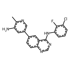 Cc1ncc(-c2ccc3ncnc(Nc4cccc(Cl)c4F)c3c2)cc1N